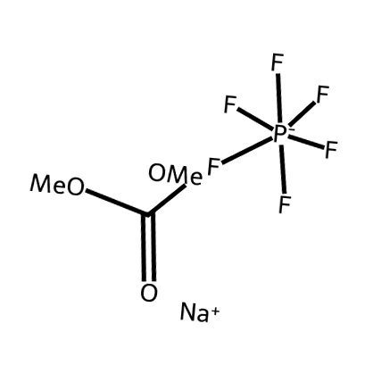 COC(=O)OC.F[P-](F)(F)(F)(F)F.[Na+]